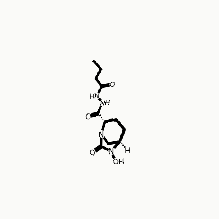 CCCC(=O)NNC(=O)[C@@H]1CC[C@@H]2CN1C(=O)N2O